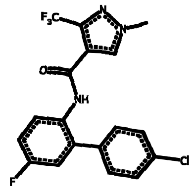 Cn1cc(C(=O)Nc2ccc(F)cc2-c2ccc(Cl)cc2)c(C(F)(F)F)n1